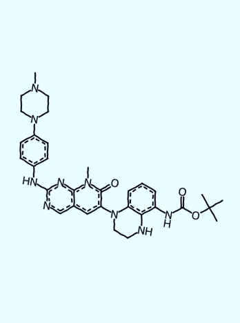 CN1CCN(c2ccc(Nc3ncc4cc(N5CCNc6c(NC(=O)OC(C)(C)C)cccc65)c(=O)n(C)c4n3)cc2)CC1